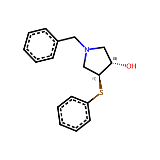 O[C@H]1CN(Cc2ccccc2)C[C@@H]1Sc1ccccc1